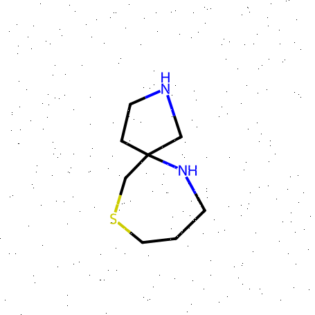 C1CNC2(CCNC2)CSC1